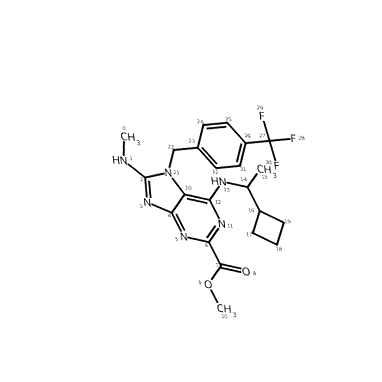 CNc1nc2nc(C(=O)OC)nc(NC(C)C3CCC3)c2n1Cc1ccc(C(F)(F)F)cc1